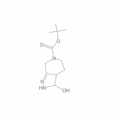 CC(C)(C)OC(=O)N1CCC2C(=NNC2O)C1